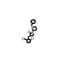 O=C1C(Cc2c(Cl)cccc2Cl)CCN1C1CCCN(Cc2ccccc2)C1